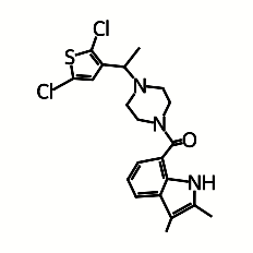 Cc1[nH]c2c(C(=O)N3CCN(C(C)c4cc(Cl)sc4Cl)CC3)cccc2c1C